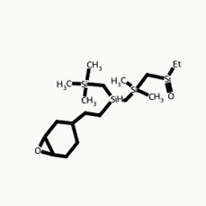 CC[Si](=O)C[Si](C)(C)C[SiH](CCC1CCC2OC2C1)C[Si](C)(C)C